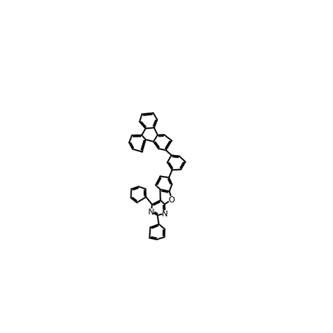 c1ccc(-c2nc(-c3ccccc3)c3c(n2)oc2cc(-c4cccc(-c5ccc6c7ccccc7c7ccccc7c6c5)c4)ccc23)cc1